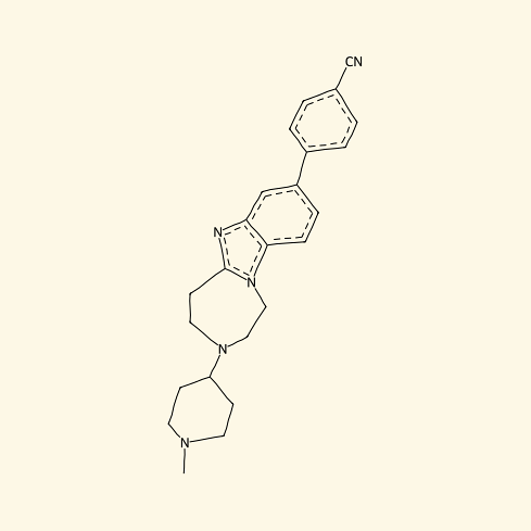 CN1CCC(N2CCc3nc4cc(-c5ccc(C#N)cc5)ccc4n3CC2)CC1